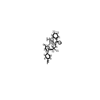 CC1=CN(c2ccc(F)cc2)C(=CC(C)(C)CNC(=O)c2ccccc2O)S1